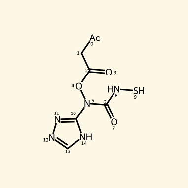 CC(=O)CC(=O)ON(C(=O)NS)c1nnc[nH]1